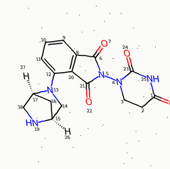 O=C1CCN(N2C(=O)c3cccc(N4C[C@@H]5C[C@H]4CN5)c3C2=O)C(=O)N1